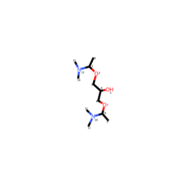 CC(OCC(O)COC(C)N(C)C)N(C)C